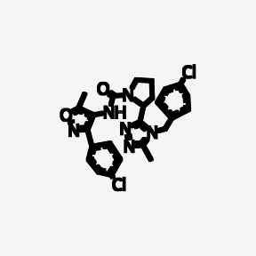 Cc1onc(-c2ccc(Cl)cc2)c1NC(=O)N1CCCC1c1nnc(C)n1Cc1ccc(Cl)cc1